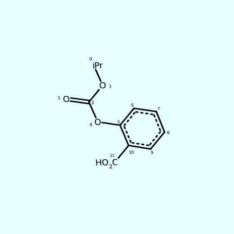 CC(C)OC(=O)Oc1ccccc1C(=O)O